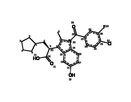 Cc1c([C@H](CC2CCCC2)C(=O)O)c2cc(O)ccc2n1C(=O)c1ccc(Cl)c(F)c1